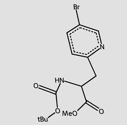 COC(=O)C(Cc1ccc(Br)cn1)NC(=O)OC(C)(C)C